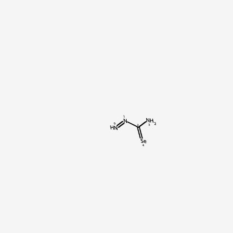 N=NC(N)=[Se]